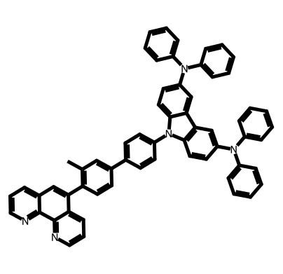 Cc1cc(-c2ccc(-n3c4ccc(N(c5ccccc5)c5ccccc5)cc4c4cc(N(c5ccccc5)c5ccccc5)ccc43)cc2)ccc1-c1cc2cccnc2c2ncccc12